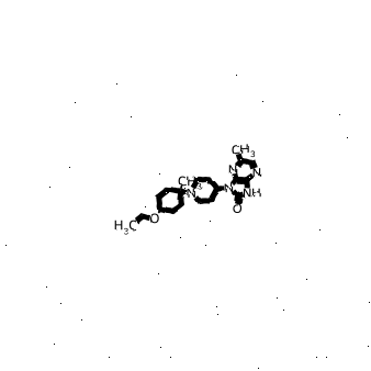 CCO[C@H]1CC[C@](C)(N2CCC(n3c(=O)[nH]c4ncc(C)nc43)CC2)CC1